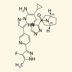 Cc1[nH]nc(-c2ccc(-c3cnn4c(N)c(C5CC5)c([C@H]5C[C@H]6CC[C@@H](C5)N6C(=O)c5nnc[nH]5)nc34)cn2)c1F